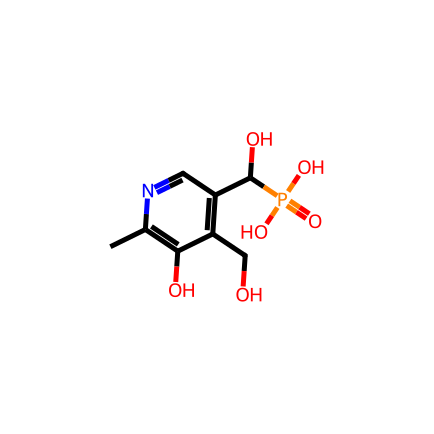 Cc1ncc(C(O)P(=O)(O)O)c(CO)c1O